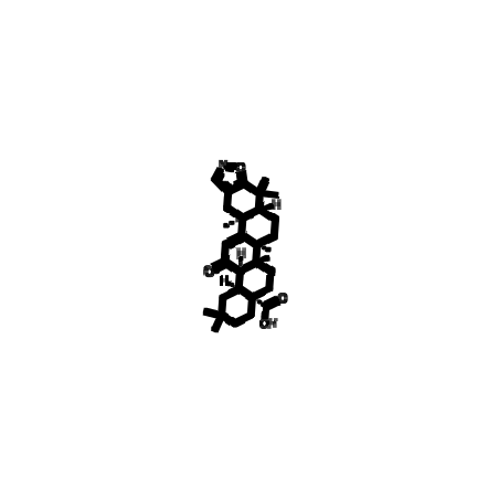 CC1(C)CC[C@]2(C(=O)O)CC[C@]3(C)[C@H](C(=O)C=C4[C@@]5(C)Cc6cnoc6C(C)(C)[C@@H]5CC[C@]43C)[C@@H]2C1